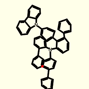 c1ccc(-c2ccc(N(c3ccccc3-c3ccccc3)c3cccc(-c4ccccc4)c3-c3ccc(-n4c5ccccc5c5ccccc54)cc3)cc2)cc1